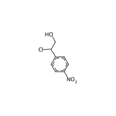 O=[N+]([O-])c1ccc(C(Cl)CO)cc1